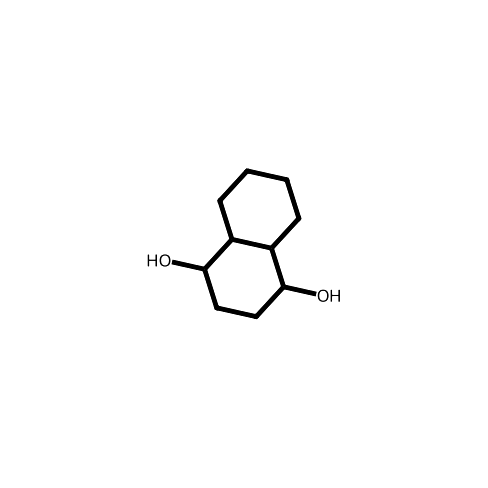 OC1CCC(O)C2CCCCC12